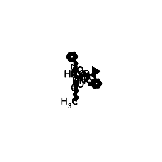 CCCCOC(=O)C[C@H](NC(=O)OCc1ccccc1)C(=O)N[C@@H](Cc1ccccc1)C(=O)OC1CC1